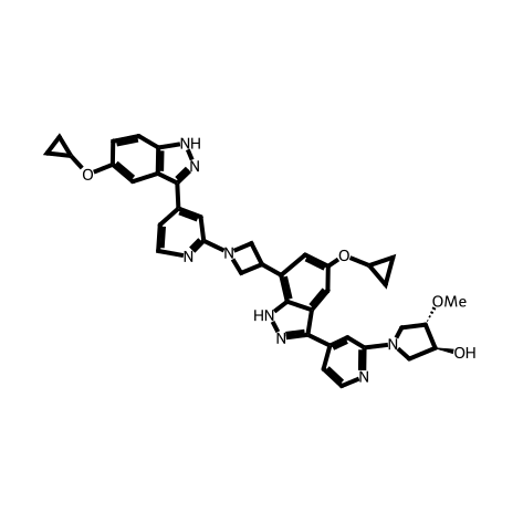 CO[C@H]1CN(c2cc(-c3n[nH]c4c(C5CN(c6cc(-c7n[nH]c8ccc(OC9CC9)cc78)ccn6)C5)cc(OC5CC5)cc34)ccn2)C[C@@H]1O